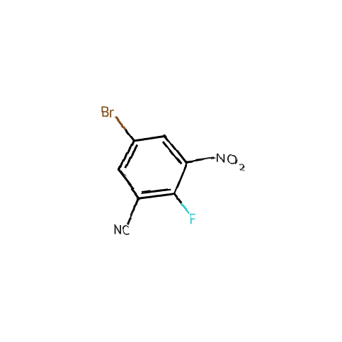 N#Cc1cc(Br)cc([N+](=O)[O-])c1F